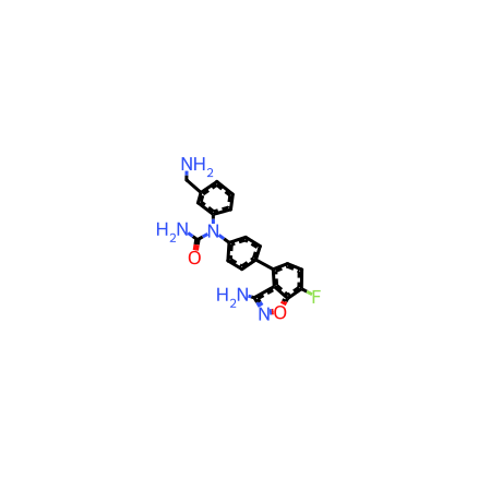 NCc1cccc(N(C(N)=O)c2ccc(-c3ccc(F)c4onc(N)c34)cc2)c1